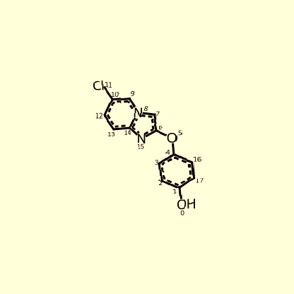 Oc1ccc(Oc2cn3cc(Cl)ccc3n2)cc1